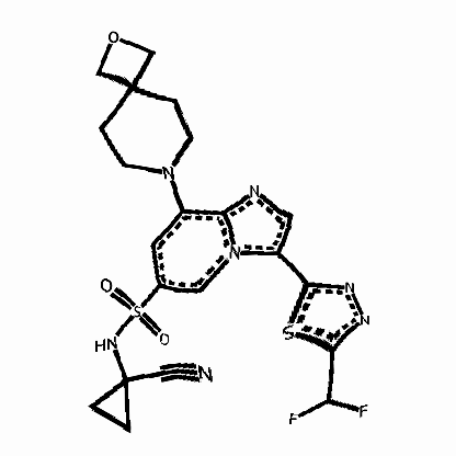 N#CC1(NS(=O)(=O)c2cc(N3CCC4(CC3)COC4)c3ncc(-c4nnc(C(F)F)s4)n3c2)CC1